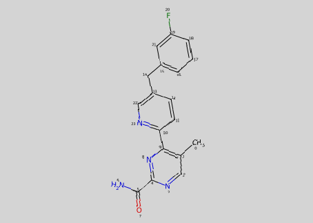 Cc1cnc(C(N)=O)nc1-c1ccc(Cc2cccc(F)c2)cn1